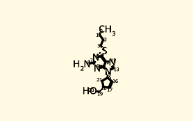 CCCCSc1nc(N)nc2c1ncn2[C@H]1C=C[C@@H](CO)C1